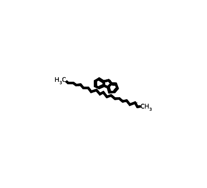 CC[CH]CCCCCCCCCCCCCCCCCC.[CH]1c2ccccc2-c2ccccc21